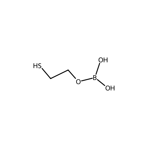 OB(O)OCCS